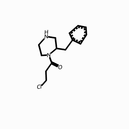 O=C(CCCl)N1CCNCC1Cc1ccccc1